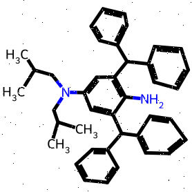 CC(C)CN(CC(C)C)c1cc(C(c2ccccc2)c2ccccc2)c(N)c(C(c2ccccc2)c2ccccc2)c1